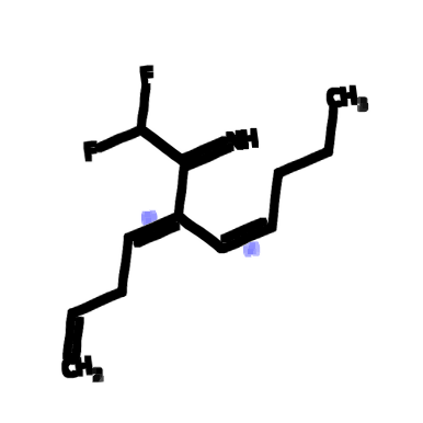 C=CC/C=C(\C=C/CCC)C(=N)C(F)F